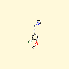 Clc1cc(CCCN2CCC2)ccc1OC1CC1